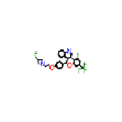 O=C(c1ccc(OCCN2CC(CF)C2)cc1)c1c(-c2ccc(C(F)(F)F)cc2F)cnc2ccccc12